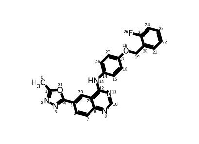 Cc1nnc(-c2ccc3ncnc(Nc4ccc(OCc5ccccc5F)cc4)c3c2)o1